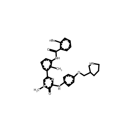 CCCCc1ccccc1C(=O)Nc1cccc(-c2cn(C)c(=O)c(Nc3ccc(OCC4CCCNC4)cc3)n2)c1C